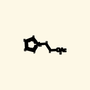 CC(=O)OCCn1cccc1